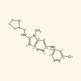 Cn1c(NCC2CCCO2)nc2cnc(Nc3cccc(Cl)c3)cc21